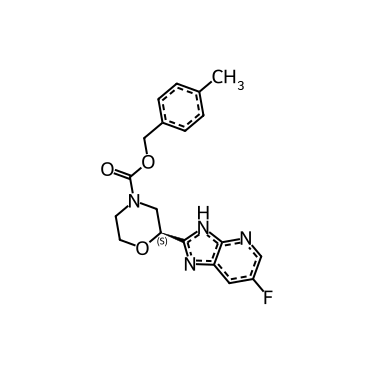 Cc1ccc(COC(=O)N2CCO[C@H](c3nc4cc(F)cnc4[nH]3)C2)cc1